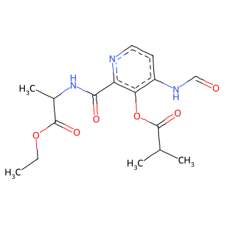 CCOC(=O)C(C)NC(=O)c1nccc(NC=O)c1OC(=O)C(C)C